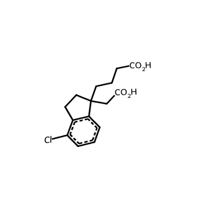 O=C(O)CCCC1(CC(=O)O)CCc2c(Cl)cccc21